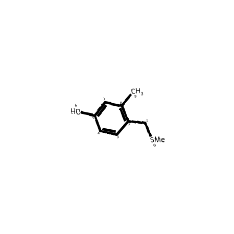 CSCc1ccc(O)cc1C